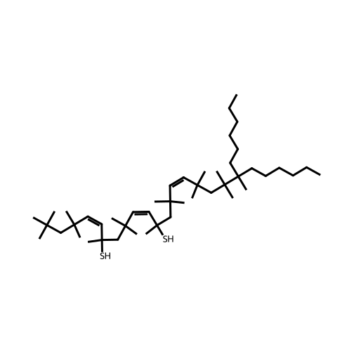 CCCCCCC(C)(CCCCCC)C(C)(C)CC(C)(C)/C=C\C(C)(C)CC(C)(S)/C=C\C(C)(C)CC(C)(S)/C=C\C(C)(C)CC(C)(C)C